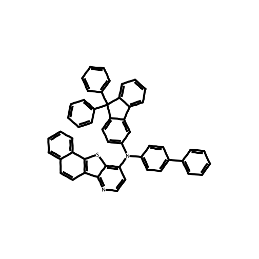 c1ccc(-c2ccc(N(c3ccc4c(c3)-c3ccccc3C4(c3ccccc3)c3ccccc3)c3ccnc4c3sc3c5ccccc5ccc43)cc2)cc1